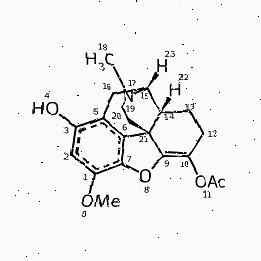 COc1cc(O)c2c3c1OC1=C(OC(C)=O)CC[C@H]4[C@@H](C2)N(C)CC[C@@]134